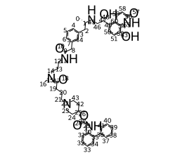 C[C@@H](Cc1cccc(CC(=O)NCCCN(C)C(=O)CCCN2CCC(OC(=O)Nc3ccccc3-c3ccccc3)CC2)c1)NC[C@H](O)c1ccc(O)c2[nH]c(=O)ccc12